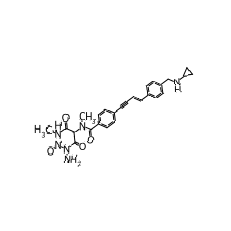 CNC(=O)C(C(=O)N(N)N=O)N(C)C(=O)c1ccc(C#C/C=C/c2ccc(CNC3CC3)cc2)cc1